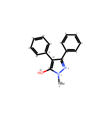 CCCCn1nc(-c2ccccc2)c(-c2ccccc2)c1O